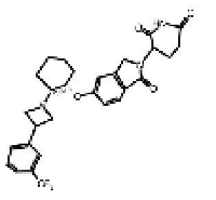 O=C1CCC(N2Cc3cc(O[C@H]4CCCC[C@@H]4N4CC(c5cccc(C(F)(F)F)c5)C4)ccc3C2=O)C(=O)N1